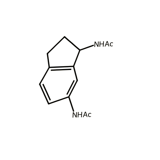 CC(=O)Nc1ccc2c(c1)C(NC(C)=O)CC2